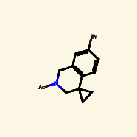 CC(=O)N1Cc2cc(C(C)C)ccc2C2(CC2)C1